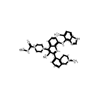 Cc1ccc2[nH]cnc2c1Oc1cccc2c(N3CCN(C(=O)OC(C)(C)C)CC3)c(C#N)c(-c3cccc4c3CCN(C)C4)nc12